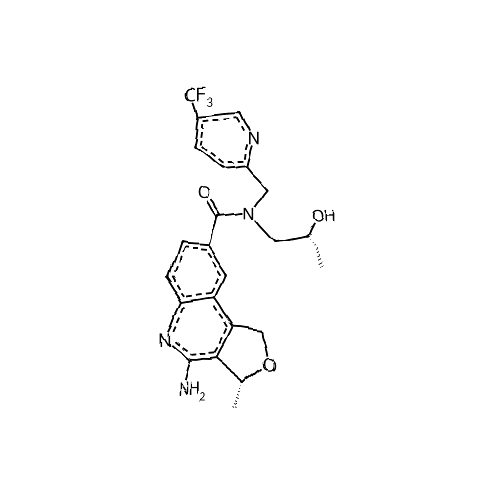 C[C@@H](O)CN(Cc1ccc(C(F)(F)F)cn1)C(=O)c1ccc2nc(N)c3c(c2c1)CO[C@@H]3C